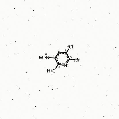 CNc1cc(Cl)c(Br)nc1C